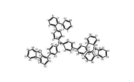 c1ccc(-c2ccccc2-c2ccc(N(c3ccc(-c4cccc(-c5ccccc5-n5c6ccccc6c6ccccc65)c4)cc3)c3ccc(-c4cccc5c4oc4ccccc45)cc3)cc2)cc1